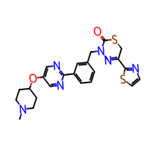 CN1CCC(Oc2cnc(-c3cccc(CN4N=C(c5nccs5)CSC4=O)c3)nc2)CC1